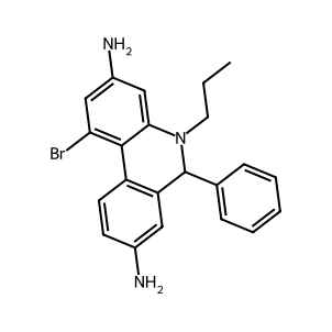 CCCN1c2cc(N)cc(Br)c2-c2ccc(N)cc2C1c1ccccc1